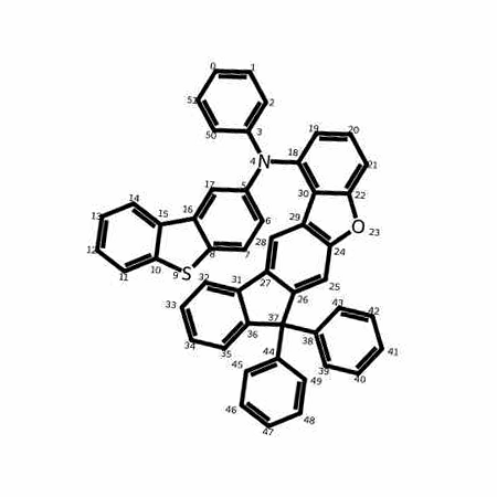 c1ccc(N(c2ccc3sc4ccccc4c3c2)c2cccc3oc4cc5c(cc4c23)-c2ccccc2C5(c2ccccc2)c2ccccc2)cc1